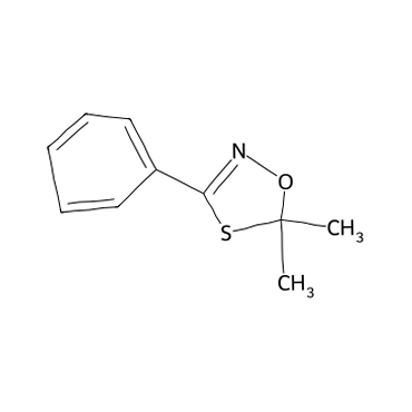 CC1(C)ON=C(c2ccccc2)S1